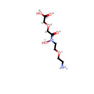 NCCOCCN(O)C(=O)COCC(=O)O